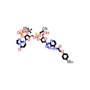 CC(C)(C)c1ccc(OCC(=O)Nc2ccnc3c2nnn3[C@H]2C[C@H](OP(=S)(OCCC#N)OC[C@H]3O[C@@H](n4ccc(=O)n5ccnc45)[C@H](O[PH](=O)O)[C@@H]3O[Si](C)(C)C(C)(C)C)[C@@H](CO)O2)cc1